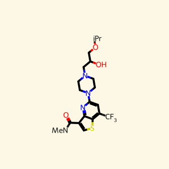 CNC(=O)c1csc2c(C(F)(F)F)cc(N3CCN(CC(O)COC(C)C)CC3)nc12